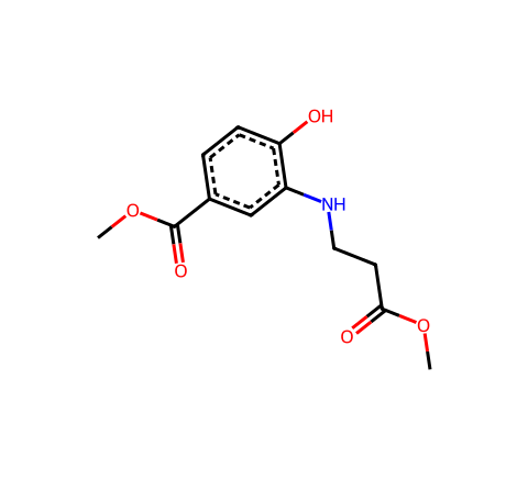 COC(=O)CCNc1cc(C(=O)OC)ccc1O